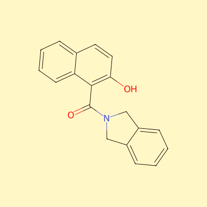 O=C(c1c(O)ccc2ccccc12)N1Cc2ccccc2C1